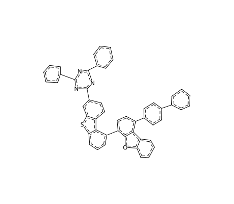 c1ccc(-c2ccc(-c3ccc(-c4cccc5sc6cc(-c7nc(-c8ccccc8)nc(-c8ccccc8)n7)ccc6c45)c4oc5ccccc5c34)cc2)cc1